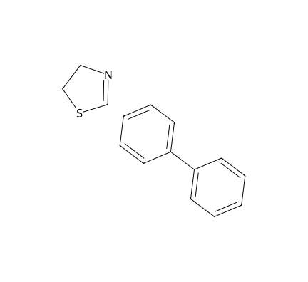 C1=NCCS1.c1ccc(-c2ccccc2)cc1